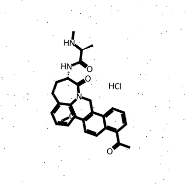 CN[C@@H](C)C(=O)N[C@H]1CCc2ccccc2N(Cc2c(OC)ccc3c(C(C)=O)cccc23)C1=O.Cl